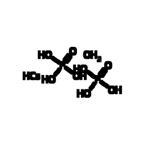 O.O=P(O)(O)O.O=P(O)(O)O.[CsH]